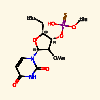 COC1[C@@H](OP(O)(=S)OC(C)(C)C)[C@@H](CC(C)(C)C)O[C@H]1n1ccc(=O)[nH]c1=O